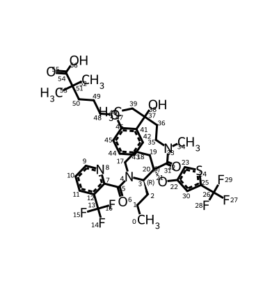 CCC[C@H]1N(C(=O)c2ncccc2C(F)(F)F)CCC[C@@]1(Oc1csc(C(F)(F)F)c1)C(=O)N(C)CCC(O)(CC)c1ccccc1OCCCC(C)(C)C(=O)O